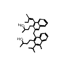 CC/C(C)=C\c1c(CCC(C)O)c(Cc2c(CCC(C)O)c(C(C)C)c(C)c3ccccc23)cc2ccccc12